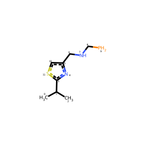 CC(C)c1nc(CNCP)cs1